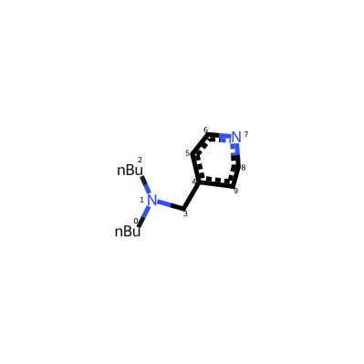 CCCCN(CCCC)Cc1ccncc1